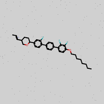 C/C=C/C1CCC(c2ccc(-c3ccc(-c4ccc(OCCCCCCCC)c(F)c4F)cc3)c(F)c2)OC1